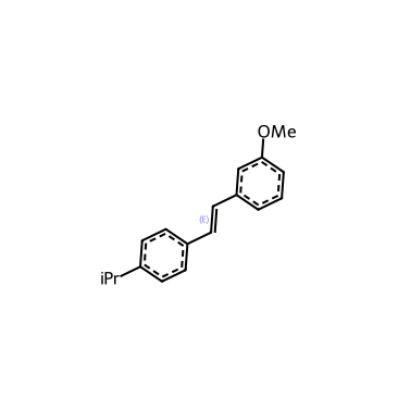 COc1cccc(/C=C/c2ccc(C(C)C)cc2)c1